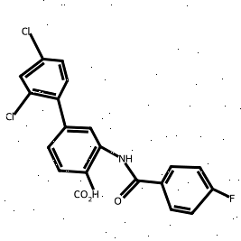 O=C(Nc1cc(-c2ccc(Cl)cc2Cl)ccc1C(=O)O)c1ccc(F)cc1